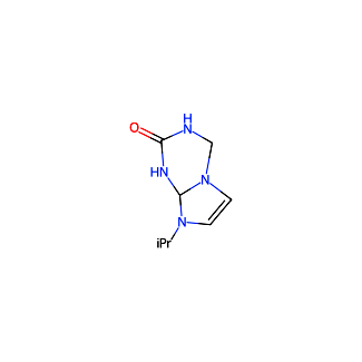 CC(C)N1C=CN2CNC(=O)NC21